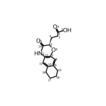 O=C(O)CC[C@H]1Oc2cc3c(cc2NC1=O)CCCC3